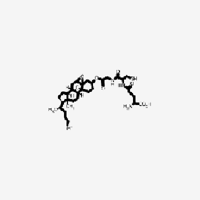 CC(C)CCC[C@@H](C)[C@H]1CC[C@H]2[C@@H]3CC4OC45CC(OC(=O)CNC(=O)C(CS)NC(=O)CCC(N)C(=O)O)CC[C@]5(C)[C@H]3CC[C@]12C